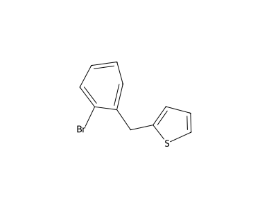 Brc1ccccc1Cc1cccs1